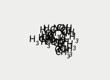 CC[C@H]1OC(=O)[C@H](C)[C@@H](O[C@H]2C[C@@](C)(OC)[C@@H](O)[C@H](C)O2)[C@H](C)[C@@H](O[C@@H]2O[C@H](C)C[C@H](NC)[C@H]2O)[C@](C)(O)C[C@@H](C)[C@H](N)[C@H](C)[C@@H](O)[C@]1(C)O